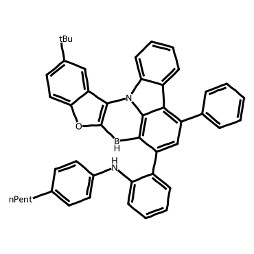 CCCCCc1ccc(Nc2ccccc2-c2cc(-c3ccccc3)c3c4ccccc4n4c3c2Bc2oc3ccc(C(C)(C)C)cc3c2-4)cc1